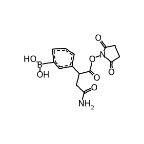 NC(=O)CC(C(=O)ON1C(=O)CCC1=O)c1cccc(B(O)O)c1